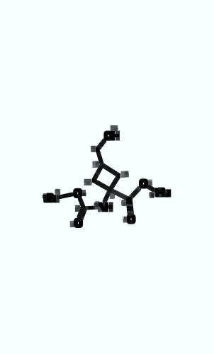 CC(C)(C)OC(=O)NC1(C(=O)OC(C)(C)C)CC(CO)C1